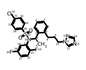 C[C@H](c1ccccc1CCCn1cncn1)N(c1cc(F)ccc1F)S(=O)(=O)c1ccc(Cl)cc1